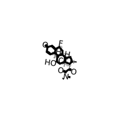 C[C@@H]1C[C@H]2[C@@H]3C[C@H](F)C4=CC(=O)C=C[C@]4(C)[C@@]3(Cl)[C@@H](O)C[C@]2(C)[C@H]1C(=O)C(=O)N(C)C